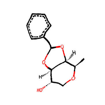 C[C@H]1OC[C@H](O)[C@H]2OC(c3ccccc3)O[C@H]21